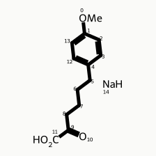 COc1ccc(CCCCC(=O)C(=O)O)cc1.[NaH]